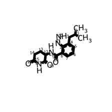 CC(C)Cc1cccc(C(=O)NC2CCC(=O)NC2=O)c1N=N